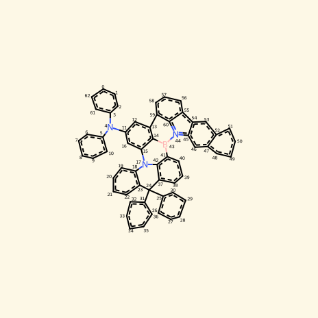 c1ccc(N(c2ccccc2)c2cc3c4c(c2)N2c5ccccc5C(c5ccccc5)(c5ccccc5)c5cccc(c52)B4n2c4cc5ccccc5cc4c4cccc-3c42)cc1